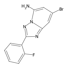 Nc1cc(Br)cc2nc(-c3ccccc3F)nn12